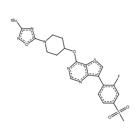 CC(C)(C)c1noc(N2CCC(Oc3ncnc4c(-c5ccc(S(C)(=O)=O)cc5F)csc34)CC2)n1